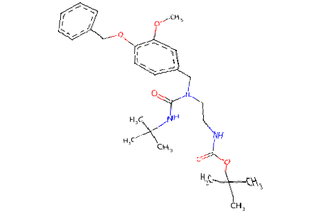 COc1cc(CN(CCNC(=O)OC(C)(C)C)C(=O)NC(C)(C)C)ccc1OCc1ccccc1